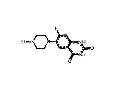 CCN1CCN(c2cc3c(=O)[nH]c(=O)[nH]c3cc2F)CC1